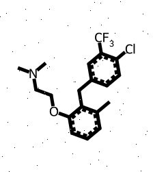 Cc1cccc(OCCN(C)C)c1Cc1ccc(Cl)c(C(F)(F)F)c1